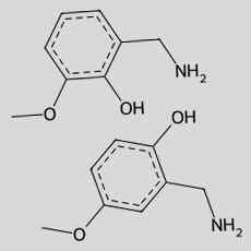 COc1ccc(O)c(CN)c1.COc1cccc(CN)c1O